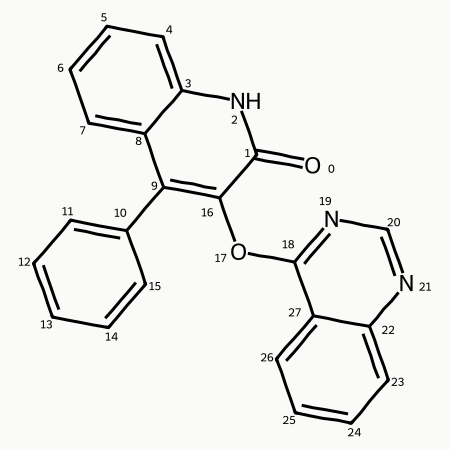 O=c1[nH]c2ccccc2c(-c2ccccc2)c1Oc1ncnc2ccccc12